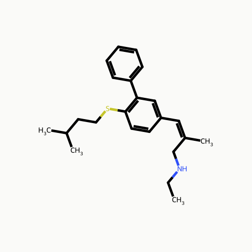 CCNCC(C)=Cc1ccc(SCCC(C)C)c(-c2ccccc2)c1